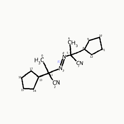 CC(C#N)(/N=N/C(C)(C#N)C1CCCC1)C1CCCC1